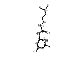 Cc1cc(=O)nc(NC(=O)NCCCN(C)C)[nH]1